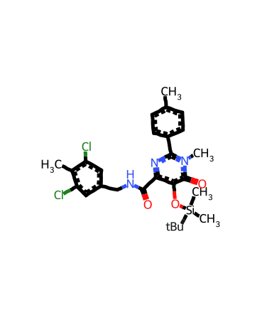 Cc1ccc(-c2nc(C(=O)NCc3cc(Cl)c(C)c(Cl)c3)c(O[Si](C)(C)C(C)(C)C)c(=O)n2C)cc1